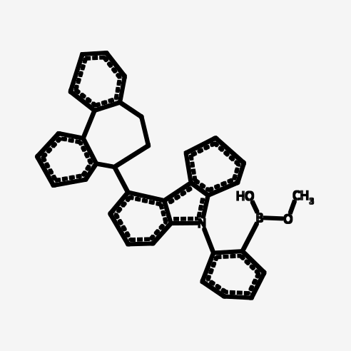 COB(O)c1ccccc1-n1c2ccccc2c2c(C3CCc4ccccc4-c4ccccc43)cccc21